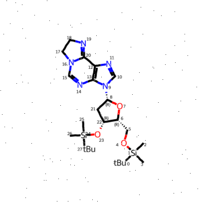 CC(C)(C)[Si](C)(C)OC[C@H]1O[C@@H](n2cnc3c2N=CN2CCN=C32)C[C@H]1O[Si](C)(C)C(C)(C)C